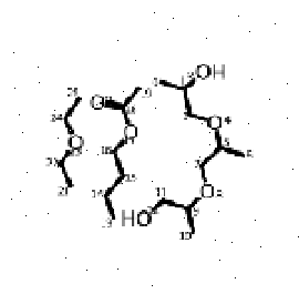 CC(O)COC(C)COC(C)CO.CCCCOC(C)=O.CCOCC